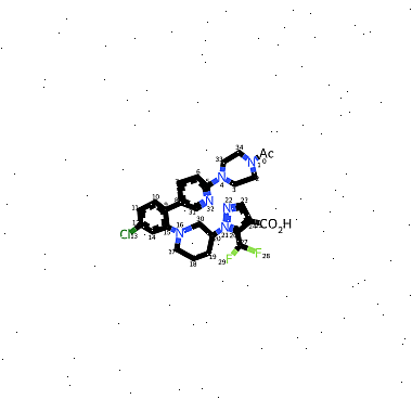 CC(=O)N1CCN(c2ccc(-c3ccc(Cl)cc3N3CCCC(n4ncc(C(=O)O)c4C(F)F)C3)cn2)CC1